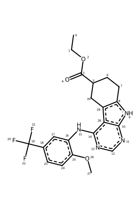 CCOC(=O)C1CCc2[nH]c3ncnc(Nc4cc(C(F)(F)F)ccc4OC)c3c2C1